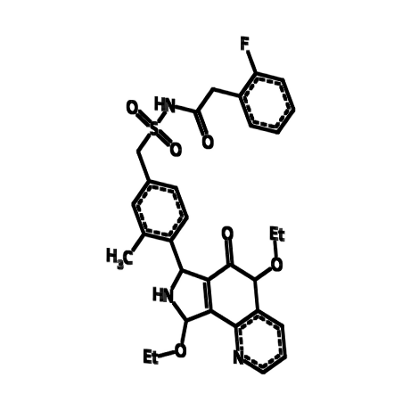 CCOC1NC(c2ccc(CS(=O)(=O)NC(=O)Cc3ccccc3F)cc2C)C2=C1c1ncccc1C(OCC)C2=O